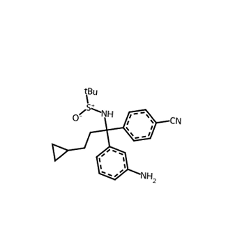 CC(C)(C)[S+]([O-])NC(CCC1CC1)(c1ccc(C#N)cc1)c1cccc(N)c1